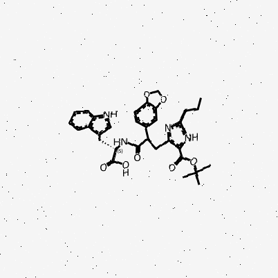 CCCc1nc(CC(C(=O)N[C@@H](Cc2c[nH]c3ccccc23)C(=O)O)c2ccc3c(c2)OCO3)c(C(=O)OC(C)(C)C)[nH]1